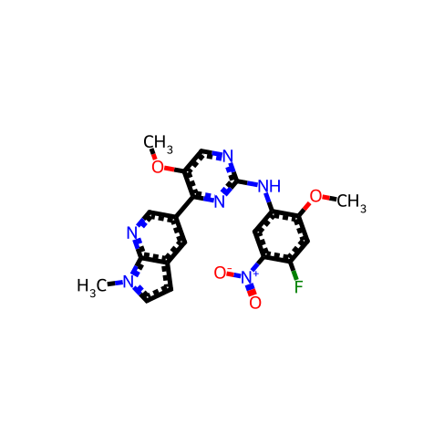 COc1cc(F)c([N+](=O)[O-])cc1Nc1ncc(OC)c(-c2cnc3c(ccn3C)c2)n1